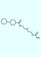 C=CC(=O)OCCOCCOC(=O)C1CCC(C2CCCCC2)CC1